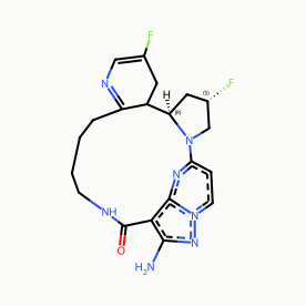 Nc1nn2ccc3nc2c1C(=O)NCCCCC1=NC=C(F)CC1[C@H]1C[C@H](F)CN31